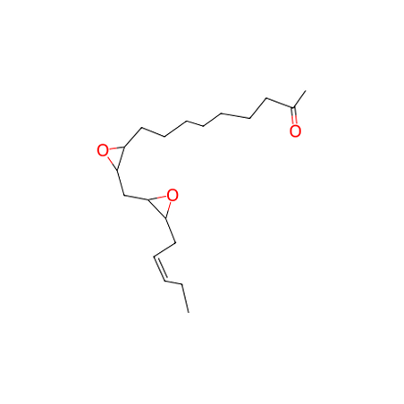 CC/C=C\CC1OC1CC1OC1CCCCCCCC(C)=O